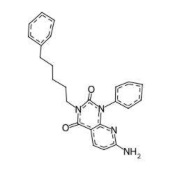 Nc1ccc2c(=O)n(CCCCCc3ccccc3)c(=O)n(-c3ccccc3)c2n1